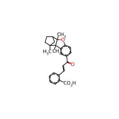 CC12CCC(C1)C1(C)Oc3ccc(C(=O)C=Cc4ccccc4C(=O)O)cc3C21C